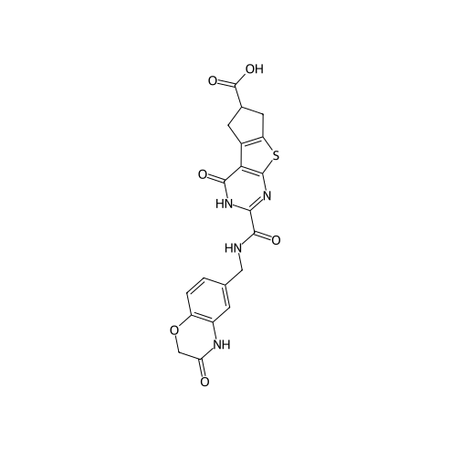 O=C1COc2ccc(CNC(=O)c3nc4sc5c(c4c(=O)[nH]3)CC(C(=O)O)C5)cc2N1